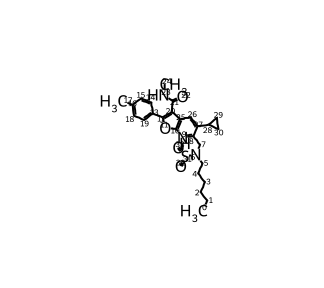 CCCCCCN(Cc1nc2oc(-c3ccc(C)cc3)c(C(=O)NC)c2cc1C1CC1)[SH](=O)=O